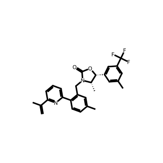 C=C(C)c1cccc(-c2ccc(C)cc2CN2C(=O)O[C@H](c3cc(C)cc(C(F)(F)F)c3)[C@@H]2C)n1